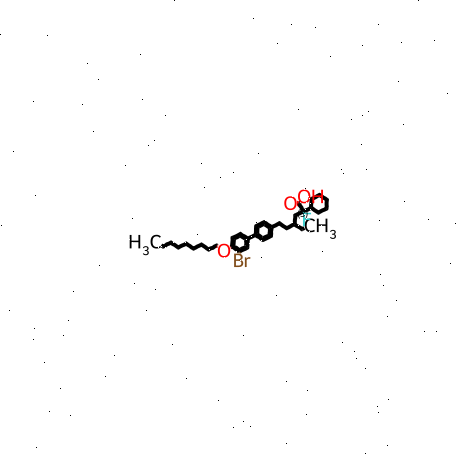 CCCCCCCCCOc1ccc(-c2ccc(CCC(CC)C[C@@](F)(C(=O)O)C3CCCCC3)cc2)cc1Br